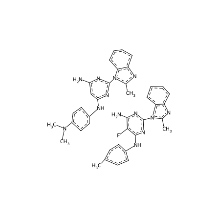 Cc1ccc(Nc2nc(-n3c(C)nc4ccccc43)nc(N)c2F)cc1.Cc1nc2ccccc2n1-c1nc(N)cc(Nc2ccc(N(C)C)cc2)n1